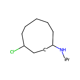 CC(C)NC1CCCCCC(Cl)CC1